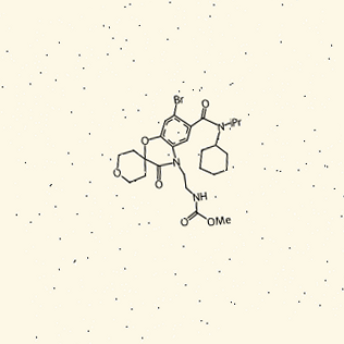 COC(=O)NCCN1C(=O)C2(CCOCC2)Oc2cc(Br)c(C(=O)N(C(C)C)C3CCCCC3)cc21